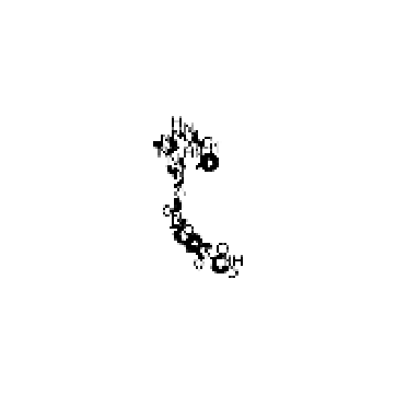 Cc1nc(Nc2ncc(C(=O)Nc3c(C)cccc3Cl)s2)cc(N2CCN(CCOCCC(=O)N3CC4(CCc5cc6c(cc5O4)CN(C4CCC(=O)NC4=O)C6=O)C3)CC2)n1